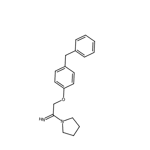 N=C(COc1ccc(Cc2ccccc2)cc1)N1CCCC1